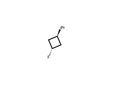 CC(C)[C@H]1C[C@H](F)C1